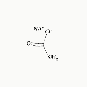 O=C([O-])[SiH3].[Na+]